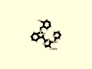 COc1cnc(-c2nn(Cc3ccccc3F)c3ccccc23)nc1Nc1ccccn1